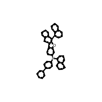 c1ccc(-c2ccc(N(c3ccc4c(c3)oc3c(-c5cccc6ccccc56)c5ccccc5cc34)c3cccc4ccccc34)cc2)cc1